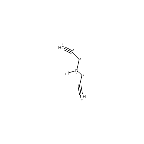 C#CCN(I)CC#C